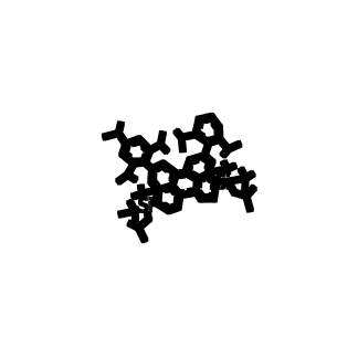 CC(C)C[Si](c1ccc2c3ccc([Si](CC(C)C)(C(C)(C)C)C(C)(C)C)c4cc(-c5c(C(C)C)cc(C(C)C)cc5C(C)C)cc(c5cc(-c6c(C(C)C)cccc6C(C)C)cc1c25)c43)(C(C)(C)C)C(C)(C)C